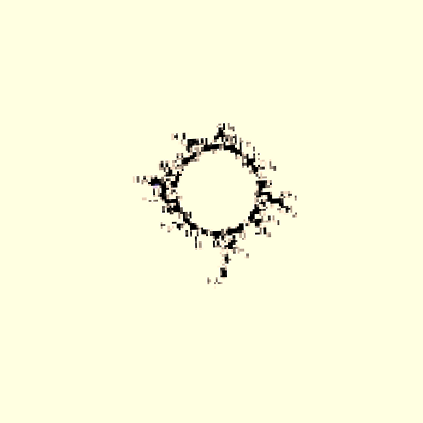 C/C=C/C[C@@H](C)[C@@H](O)[C@H]1C(=O)N[C@@H](CC)C(=O)N(C)CC(=O)N(C)[C@@H](CC(C)(C)OCOCC)C(=O)N[C@H](C(C)C)C(=O)N(C)[C@H](CCC(C)C)C(=O)N[C@H](C)C(=O)N[C@@H](C)C(=O)N(C)[C@@H](CC(C)C)C(=O)N(C)[C@@H](CC(C)C)C(=O)N(C)[C@@H](C(C)C)C(=O)N1C